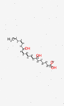 C=CC/C=C\CC(O)\C=C/C=C/C=C/C(O)CCCCCC(=O)O